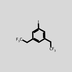 FC(F)(F)Cc1cc(I)cc(CC(F)(F)F)c1